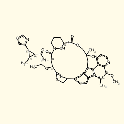 CCO[C@@H]1C2=NC(CS2)c2ccc3c(c2)c(c(-c2cccnc2[C@H](C)OC)n3CC)CC(C)(C)COC(=O)[C@@H]2CCCN(N2)C(=O)[C@H]1NC(=O)[C@@H]1[C@@H](C)[C@H]1c1cocn1